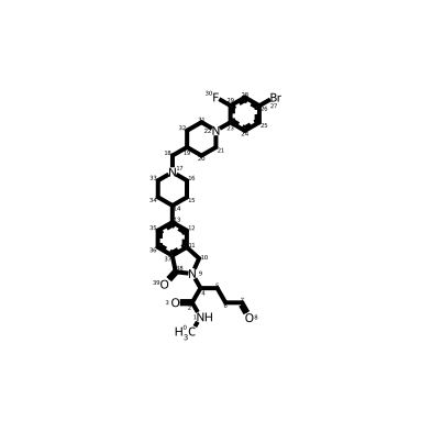 CNC(=O)C(CCC=O)N1Cc2cc(C3CCN(CC4CCN(c5ccc(Br)cc5F)CC4)CC3)ccc2C1=O